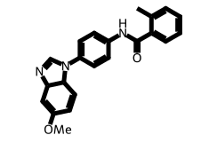 COC1=CC2N=CN(c3ccc(NC(=O)c4ccccc4C)cc3)C2C=C1